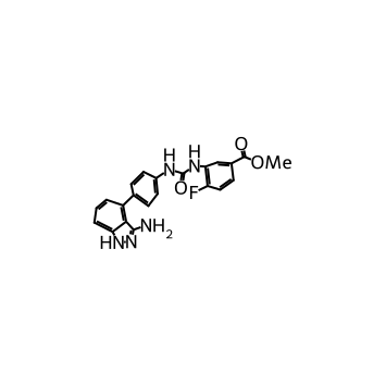 COC(=O)c1ccc(F)c(NC(=O)Nc2ccc(-c3cccc4[nH]nc(N)c34)cc2)c1